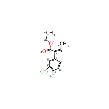 CC=C(C(=O)OCC)c1ccc(Cl)c(Cl)c1